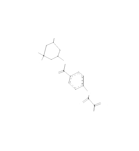 C=C(C)C(=O)Oc1ccc(C(=O)OC2CC(C)CC(C)(C)C2)cc1